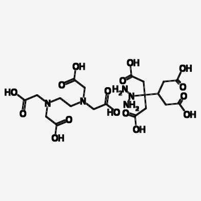 NN(N)C(CC(=O)O)(CC(=O)O)C(CC(=O)O)CC(=O)O.O=C(O)CN(CCN(CC(=O)O)CC(=O)O)CC(=O)O